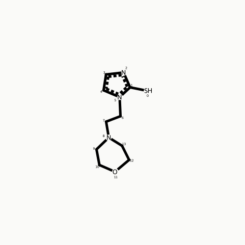 Sc1nccn1CCN1CCOCC1